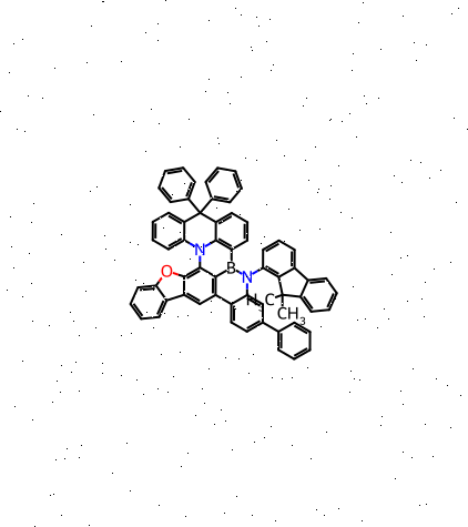 CC1(C)c2ccccc2-c2cccc(N3B4c5cccc6c5N(c5ccccc5C6(c5ccccc5)c5ccccc5)c5c4c(cc4c5oc5ccccc54)-c4ccc(-c5ccccc5)cc43)c21